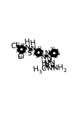 Cc1nc(N)nc(-n2c(Nc3ccc(NC(=S)Nc4cc(Cl)cc(Cl)c4)cc3)nc3ccccc32)n1